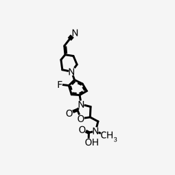 CN(CC1CN(c2ccc(N3CCC(=CC#N)CC3)c(F)c2)C(=O)O1)C(=O)O